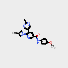 CCC1CN(c2ncc(C(=O)Nc3ccc(OC(F)(F)F)cc3)cc2-c2cnc(C)nc2)C1